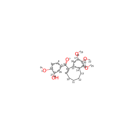 COc1ccc(C(=O)C2=CCCCCc3c2cc(OC)c(OC)c3OC)cc1O